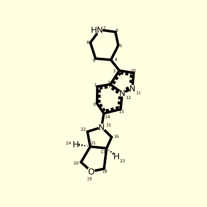 c1cc2c(C3CCNCC3)cnn2cc1N1C[C@H]2COC[C@H]2C1